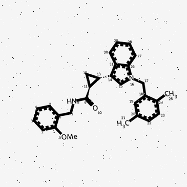 COc1ccccc1CNC(=O)[C@H]1C[C@@H]1c1cn(Cc2cc(C)ccc2C)c2ccccc12